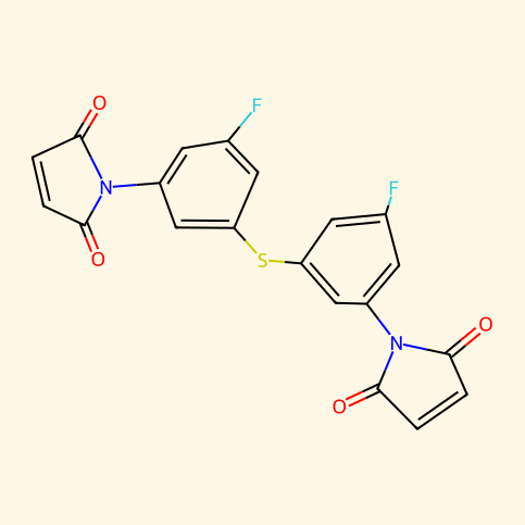 O=C1C=CC(=O)N1c1cc(F)cc(Sc2cc(F)cc(N3C(=O)C=CC3=O)c2)c1